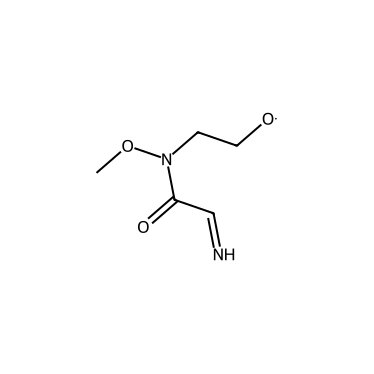 CON(CC[O])C(=O)C=N